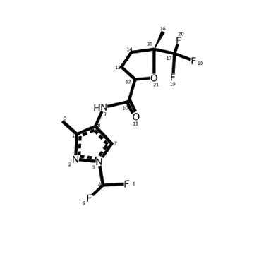 Cc1nn(C(F)F)cc1NC(=O)C1CC[C@](C)(C(F)(F)F)O1